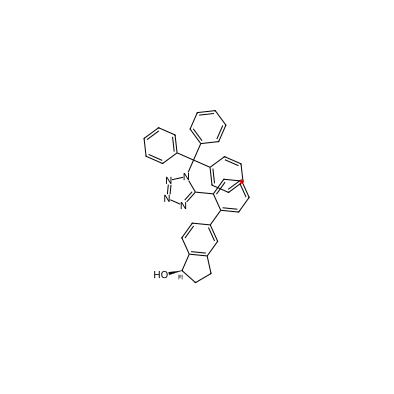 O[C@@H]1CCc2cc(-c3ccccc3-c3nnnn3C(c3ccccc3)(c3ccccc3)c3ccccc3)ccc21